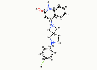 Cn1c(=O)cc(N2CC3(CCN(c4ccc(F)cc4)C3)C2)c2ccccc21